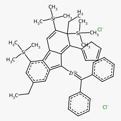 CCc1cc([Si](C)(C)C)c2c(c1)=[C]([Zr+2]=[C](c1ccccc1)c1ccccc1)C1=C(C3=CC=CC3)C(CC)([Si](C)(C)C)C([Si](C)(C)C)=CC=21.[Cl-].[Cl-]